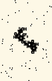 C[C@]1(O)C[C@@H](n2c(=O)[nH]c3cc(OCCN4CCC5(CC4)C(=O)Nc4ccc(Cl)cc45)cc(C(F)(F)F)c32)C1